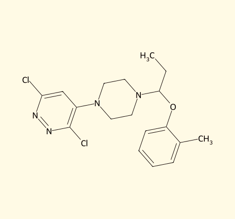 CCC(Oc1ccccc1C)N1CCN(c2cc(Cl)nnc2Cl)CC1